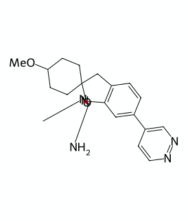 COC1CCC2(CC1)Cc1ccc(-c3ccnnc3)cc1C21N=C(N)N(C)O1